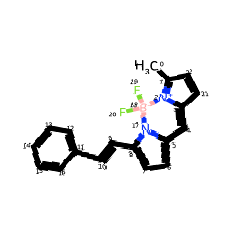 CC1=[N+]2C(=Cc3ccc(C=Cc4ccccc4)n3[B-]2(F)F)C=C1